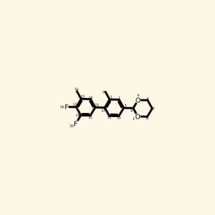 Cc1cc(C2OCCCO2)ccc1-c1cc(C)c(F)c(F)c1